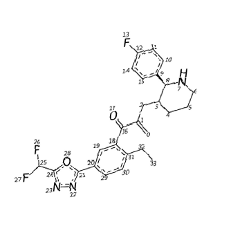 C=C(CC1CCCN[C@@H]1c1ccc(F)cc1)C(=O)c1cc(-c2nnc(C(F)F)o2)ccc1CC